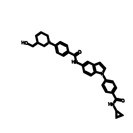 O=C(Nc1ccc2c(ccn2-c2ccc(C(=O)NC3CC3)cc2)c1)c1ccc(N2CCCC(CO)C2)cc1